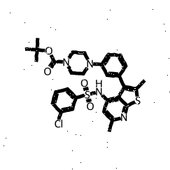 Cc1cc(NS(=O)(=O)c2cccc(Cl)c2)c2c(-c3cccc(N4CCN(C(=O)OC(C)(C)C)CC4)c3)c(C)sc2n1